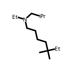 CCN(CCCCC(C)(C)CC)CC(C)C